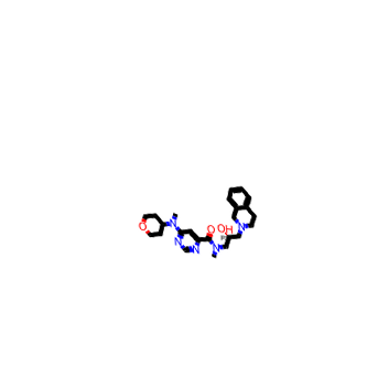 CN(C[C@H](O)CN1CCc2ccccc2C1)C(=O)c1cc(N(C)C2CCOCC2)ncn1